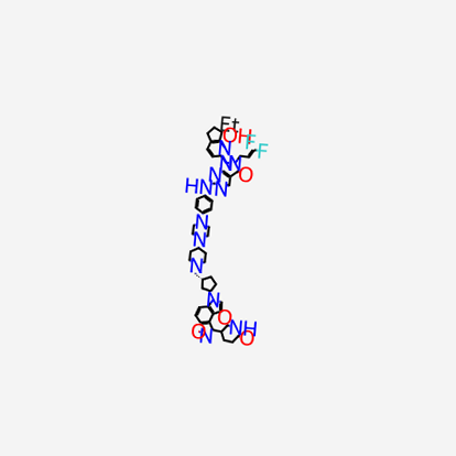 CC[C@@]1(O)CCc2ccc(-n3c4nc(Nc5ccc(N6CCN(C7CCN(C[C@@H]8CCC(n9ccc%10c%11c(C%12CCC(=O)NC%12=O)noc%11ccc%109)C8)CC7)CC6)cc5)ncc4c(=O)n3CC=C(F)F)nc21